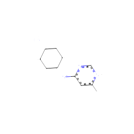 CCc1cc(N[C@H]2CC[C@@H](N)CC2)ncn1